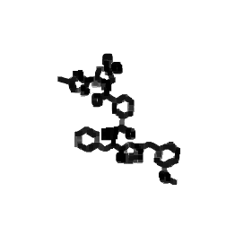 COc1cccc(CNC[C@@H](O)C(Cc2ccccc2)NC(=O)c2cccc(C(=O)N3CS(=O)(=O)C[C@@H]3c3nc(C)cs3)c2)c1